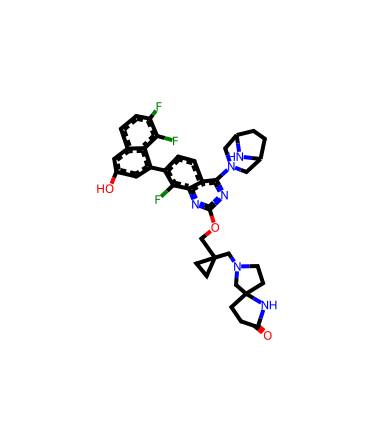 O=C1CCC2(CCN(CC3(COc4nc(N5CC6CCC(C5)N6)c5ccc(-c6cc(O)cc7ccc(F)c(F)c67)c(F)c5n4)CC3)C2)N1